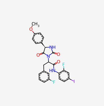 COc1ccc([C@H]2NC(=O)N(C(Cc3cccc(F)c3)C(=O)Nc3ccc(I)cc3F)C2=O)cc1